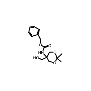 CC1(C)OCC(CO)(NC(=O)OCc2ccccc2)CO1